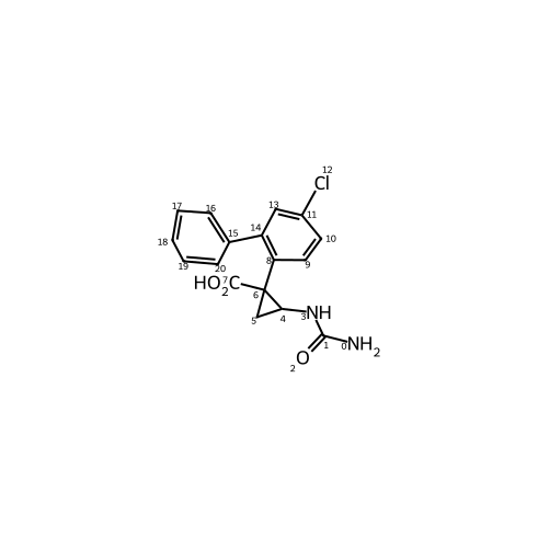 NC(=O)NC1CC1(C(=O)O)c1ccc(Cl)cc1-c1ccccc1